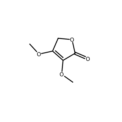 COC1=C(OC)C(=O)OC1